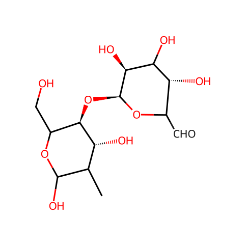 CC1C(O)OC(CO)[C@@H](O[C@@H]2OC(C=O)[C@@H](O)C(O)[C@@H]2O)[C@@H]1O